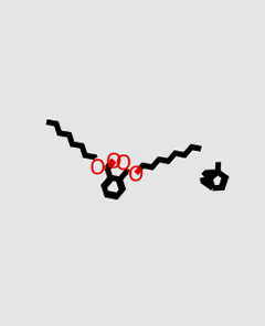 CC12C=CC(CC1)C2(C)C.CCCCCCCCOC(=O)c1ccccc1C(=O)OCCCCCCCC